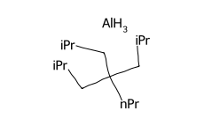 CCCC(CC(C)C)(CC(C)C)CC(C)C.[AlH3]